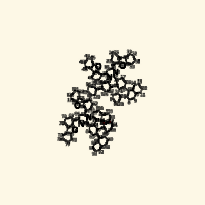 c1ccc(-c2c(-c3cccc4ccccc34)ccc(-c3nc(-c4cccc5c4oc4ccccc45)cc(-c4cccc5c4oc4ccccc45)n3)c2-c2ccc(-c3cccc(-c4ccc(-c5cc(-c6cccc7c6oc6ccccc67)nc(-c6ccc(-c7cccc8ccccc78)c(-c7ccccc7)c6-c6cccc7ccccc67)n5)c5oc6ccccc6c45)c3)cc2)cc1